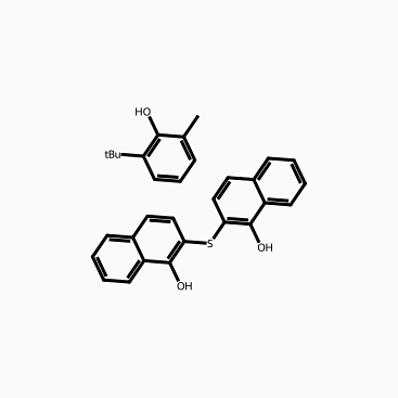 Cc1cccc(C(C)(C)C)c1O.Oc1c(Sc2ccc3ccccc3c2O)ccc2ccccc12